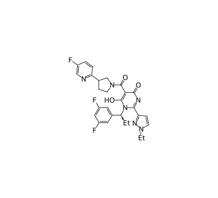 CC[C@@H](c1cc(F)cc(F)c1)n1c(-c2ccn(CC)n2)nc(=O)c(C(=O)N2CCC(c3ccc(F)cn3)C2)c1O